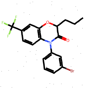 CCCC1Oc2cc(C(F)(F)F)ccc2N(c2cccc(Br)c2)C1=O